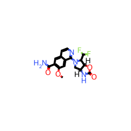 COc1cc2c(N3C[C@H]4NC(=O)O[C@H]4C3C(F)F)nccc2cc1C(N)=O